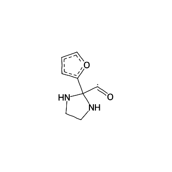 O=[C]C1(c2ccco2)NCCN1